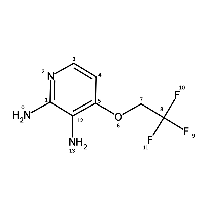 Nc1nccc(OCC(F)(F)F)c1N